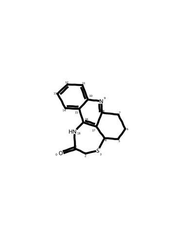 O=C1CSC2CCCc3nc4ccccc4c(c32)N1